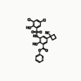 N#CC1(c2cc(NS(=O)(=O)c3cc(Cl)cc(Cl)c3O)c(O)c(C(=O)Oc3ccccc3)c2)CCC1